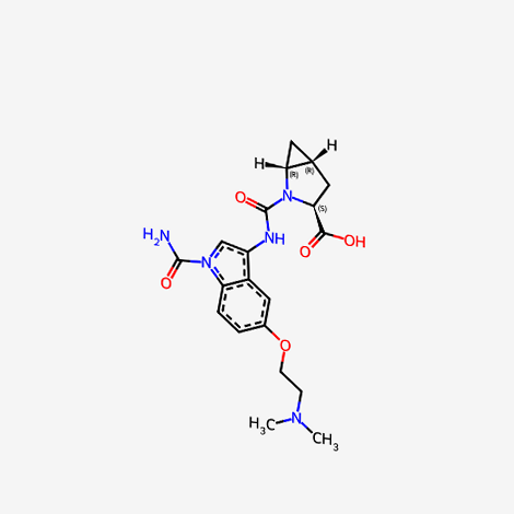 CN(C)CCOc1ccc2c(c1)c(NC(=O)N1[C@@H]3C[C@@H]3C[C@H]1C(=O)O)cn2C(N)=O